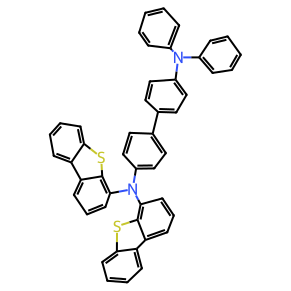 c1ccc(N(c2ccccc2)c2ccc(-c3ccc(N(c4cccc5c4sc4ccccc45)c4cccc5c4sc4ccccc45)cc3)cc2)cc1